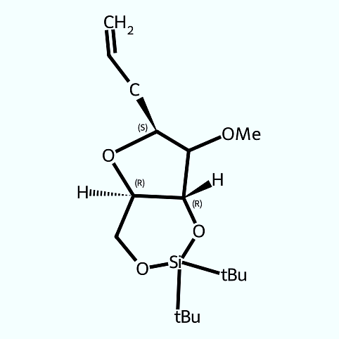 C=CC[C@@H]1O[C@@H]2CO[Si](C(C)(C)C)(C(C)(C)C)O[C@H]2C1OC